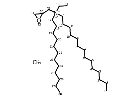 CCCCCCCCCCCCCC[N+](CC)(CCCCCCCCCCCC)CC1CO1.[Cl-]